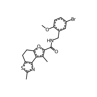 COc1ccc(Br)cc1CNC(=O)c1oc2c(c1C)-c1nc(C)sc1CC2